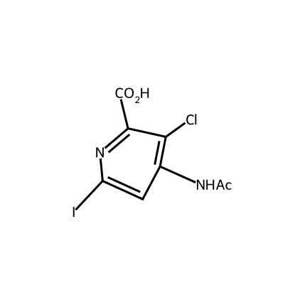 CC(=O)Nc1cc(I)nc(C(=O)O)c1Cl